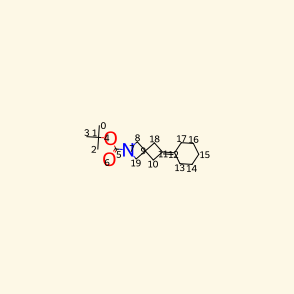 CC(C)(C)OC(=O)N1CC2(CC(=C3CCCCC3)C2)C1